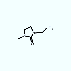 CCN1CCN(I)C1=O